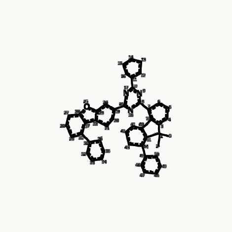 CC1(C)c2cccc(-c3nc(-c4ccccc4)nc(-c4ccc5c(c4)oc4cccc(-c6ccccc6)c45)n3)c2-c2cccc(-c3ccccc3)c21